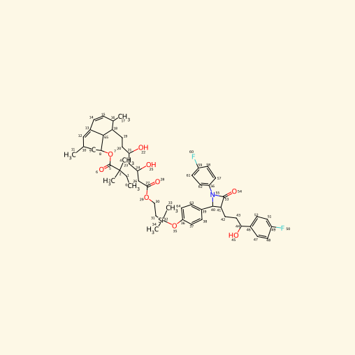 CCC(C)(C)C(=O)OC1CC(C)C=C2C=CC(C)C(CCC(O)CC(O)CC(=O)OCC[Si](C)(C)Oc3ccc(C4C(CCC(O)c5ccc(F)cc5)C(=O)N4c4ccc(F)cc4)cc3)C21